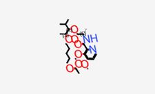 CCCCCO[C@@H](C)[C@H](OC(=O)[C@H](C)NC(=O)c1nccc(OC)c1OCOC(C)=O)C(C)C